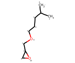 [CH2]C(C)CCCOCC1CO1